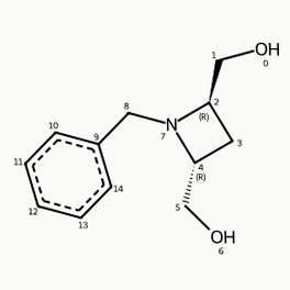 OC[C@H]1C[C@H](CO)N1Cc1ccccc1